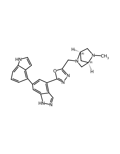 CN1C[C@H]2C[C@@H]1CN2Cc1nnc(-c2cc(-c3cccc4[nH]ccc34)cc3[nH]ncc23)o1